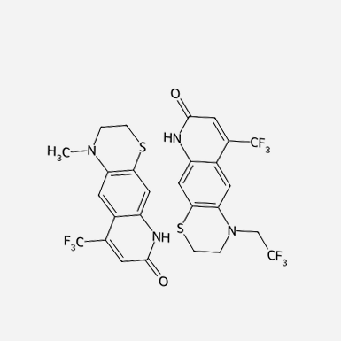 CN1CCSc2cc3[nH]c(=O)cc(C(F)(F)F)c3cc21.O=c1cc(C(F)(F)F)c2cc3c(cc2[nH]1)SCCN3CC(F)(F)F